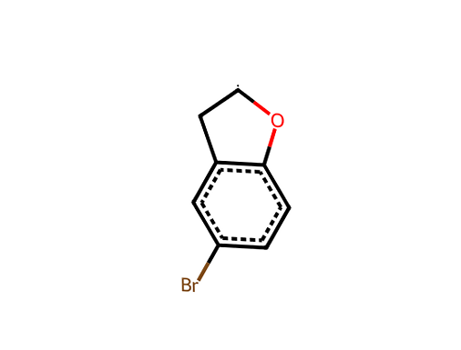 Brc1ccc2c(c1)C[CH]O2